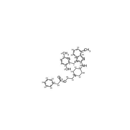 Cc1ccc(O)c(Cn2c(NC3CCN(CCOC(=O)Cc4ccccc4)CC3)nc3c(C)cccc32)n1